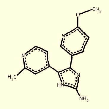 COc1ccc(-c2nc(N)[nH]c2-c2ccnc(C)c2)cn1